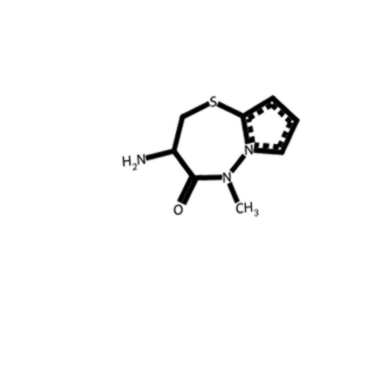 CN1C(=O)C(N)CSc2cccn21